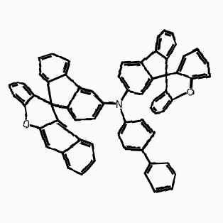 c1ccc(-c2ccc(N(c3ccc4c(c3)-c3ccccc3C43c4ccccc4Oc4cc5ccccc5cc43)c3ccc4c(c3)C3(c5ccccc5Oc5ccccc53)c3ccccc3-4)cc2)cc1